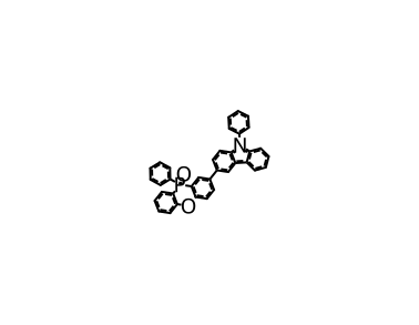 O=P1(c2ccccc2)c2ccccc2Oc2ccc(-c3ccc4c(c3)c3ccccc3n4-c3ccccc3)cc21